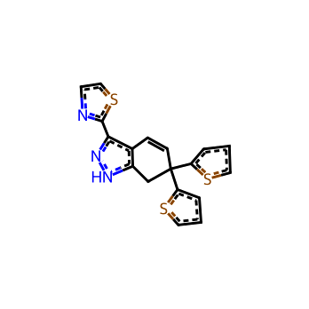 C1=CC(c2cccs2)(c2cccs2)Cc2[nH]nc(-c3nccs3)c21